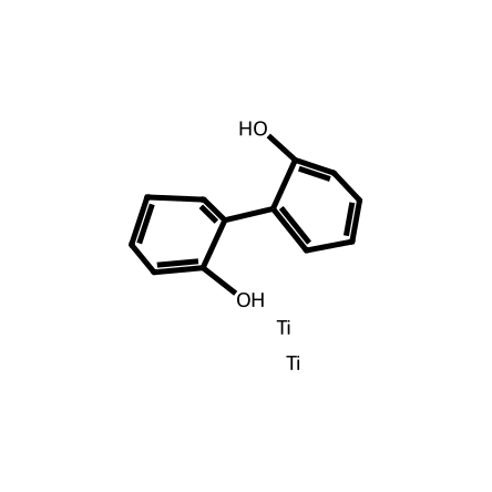 Oc1ccccc1-c1ccccc1O.[Ti].[Ti]